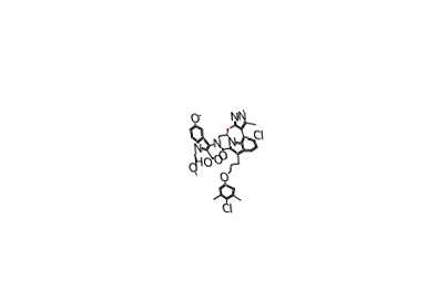 COCCn1c(C(=O)O)c(N2C[C@@H](C)n3c(c(CCCOc4cc(C)c(Cl)c(C)c4)c4ccc(Cl)c(-c5c(C)nn(C)c5C)c43)C2=O)c2cc(OC)ccc21